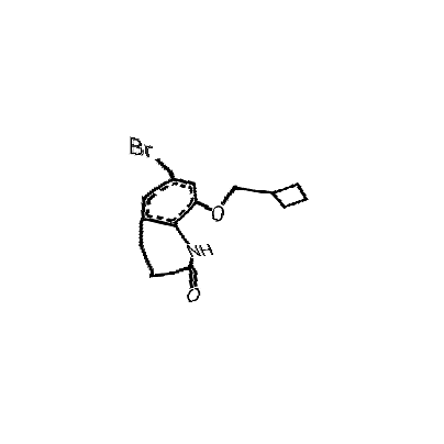 O=C1CCc2cc(Br)cc(OCC3CCC3)c2N1